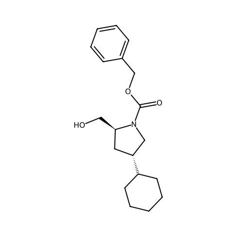 O=C(OCc1ccccc1)N1C[C@H](C2CCCCC2)C[C@H]1CO